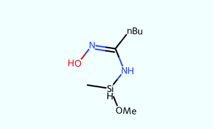 CCCCC(=NO)N[SiH](C)OC